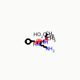 CP(CC(C)(C)C(=O)O)OCNC(=O)C(CCCCN)NC(=O)OCC1C2CCC#CCCC21